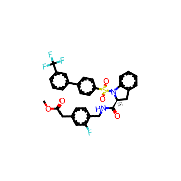 COC(=O)Cc1ccc(CNC(=O)[C@@H]2Cc3ccccc3N2S(=O)(=O)c2ccc(-c3cccc(C(F)(F)F)c3)cc2)c(F)c1